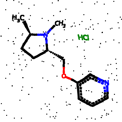 C[C@@H]1CC[C@@H](COc2cccnc2)N1C.Cl